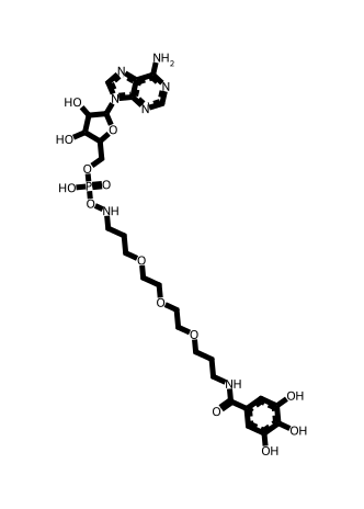 Nc1ncnc2c1ncn2C1OC(COP(=O)(O)ONCCCOCCOCCOCCCNC(=O)c2cc(O)c(O)c(O)c2)C(O)C1O